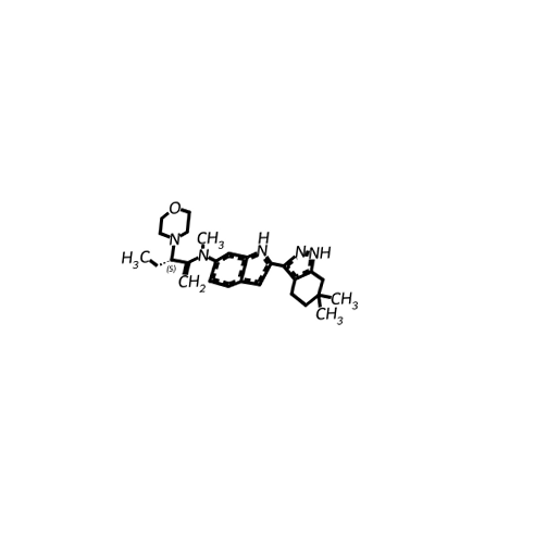 C=C([C@H](CC)N1CCOCC1)N(C)c1ccc2cc(-c3n[nH]c4c3CCC(C)(C)C4)[nH]c2c1